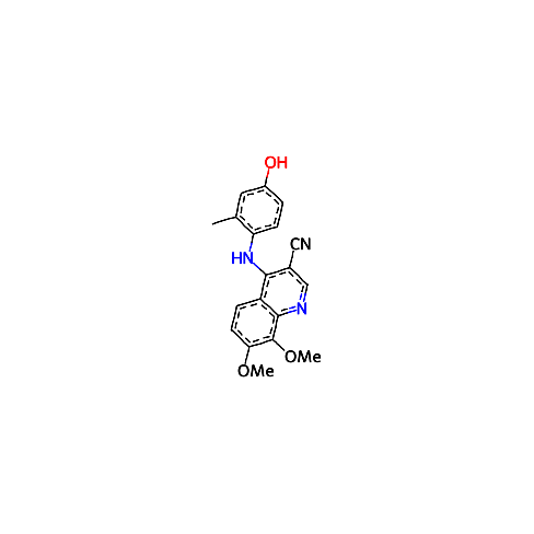 COc1ccc2c(Nc3ccc(O)cc3C)c(C#N)cnc2c1OC